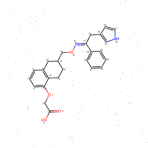 O=C(O)COc1cccc2c1CCC(CON=C(Cc1cc[nH]c1)c1ccccc1)C2